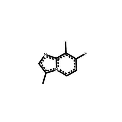 Cc1c(F)ccn2c(C)cnc12